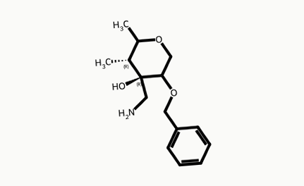 CC1OCC(OCc2ccccc2)[C@](O)(CN)[C@@H]1C